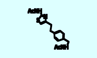 CC(=O)NCc1ccc(CCc2csc(NC(C)=O)n2)cc1